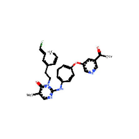 C\C=C/C(=C\C=C\Cl)CCn1c(NC2=CCC=C(Oc3cncc(C(=O)OC)c3)C=C2)ncc(NC)c1=O